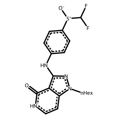 CCCCCCn1nc(Nc2ccc([S+]([O-])C(F)F)cc2)c2c(=O)[nH]ccc21